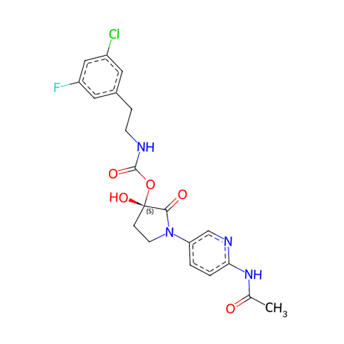 CC(=O)Nc1ccc(N2CC[C@](O)(OC(=O)NCCc3cc(F)cc(Cl)c3)C2=O)cn1